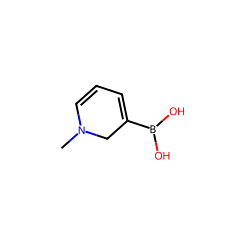 CN1C=CC=C(B(O)O)C1